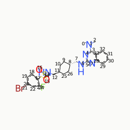 CN(C)c1nc(NC[C@H]2CC[C@H](CNS(=O)(=O)c3ccc(Br)cc3F)CC2)nc2ccccc12